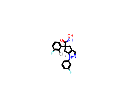 Cc1c(F)cccc1[C@]1(C(=O)NO)Cc2cnn(-c3cccc(F)c3)c2C1